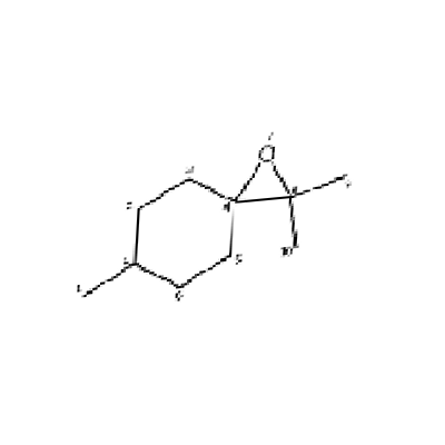 CC1CCC2(CC1)OC2(C)C